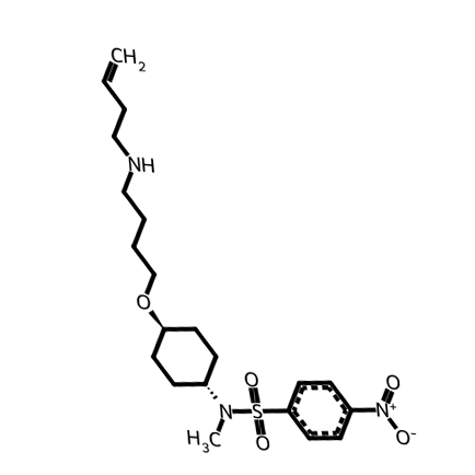 C=CCCNCCCCO[C@H]1CC[C@H](N(C)S(=O)(=O)c2ccc([N+](=O)[O-])cc2)CC1